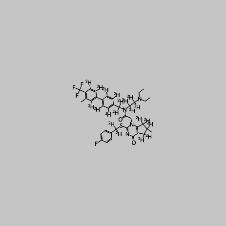 [2H]c1c([2H])c(C([2H])([2H])N(C(=O)Cn2c(SC([2H])([2H])c3ccc(F)cc3)nc(=O)c3c2C([2H])([2H])C([2H])(C)C3([2H])[2H])C([2H])([2H])C([2H])([2H])N(CC)CC)c([2H])c([2H])c1-c1c([2H])c([2H])c(C(F)(F)F)c(C)c1[2H]